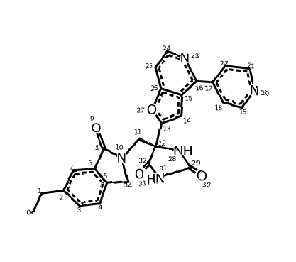 CCc1ccc2c(c1)C(=O)N(C[C@@]1(c3cc4c(-c5ccncc5)nccc4o3)NC(=O)NC1=O)C2